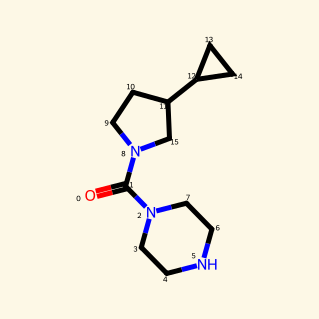 O=C(N1CCNCC1)N1CCC(C2CC2)C1